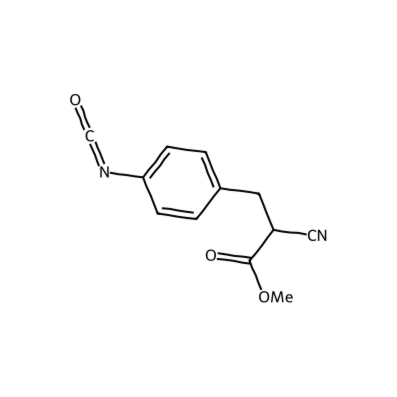 COC(=O)C(C#N)Cc1ccc(N=C=O)cc1